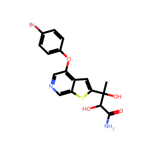 CC(O)(c1cc2c(Oc3ccc(Br)cc3)cncc2s1)C(O)C(N)=O